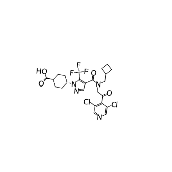 O=C(CN(CC1CCC1)C(=O)c1cnn([C@H]2CC[C@H](C(=O)O)CC2)c1C(F)(F)F)c1c(Cl)cncc1Cl